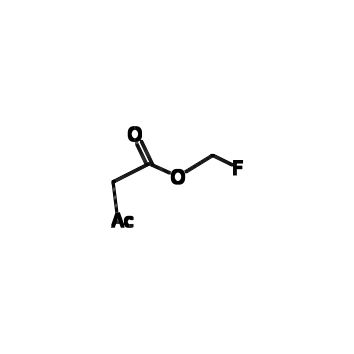 CC(=O)CC(=O)OCF